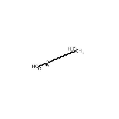 CC(C)CCCCCCCCCCCCCCCOC(=O)CCCC(=O)O